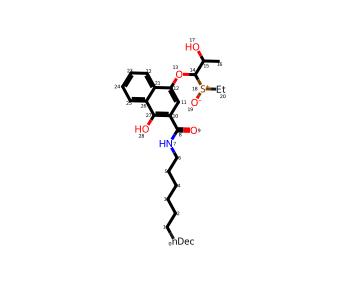 CCCCCCCCCCCCCCCCNC(=O)c1cc(OC(C(C)O)[S+]([O-])CC)c2ccccc2c1O